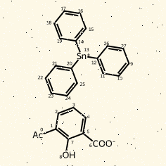 CC(=O)c1cccc(C(=O)[O-])c1O.c1cc[c]([Sn+]([c]2ccccc2)[c]2ccccc2)cc1